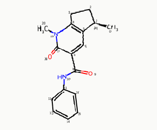 C[C@@H]1CCc2c1cc(C(=O)Nc1ccccc1)c(=O)n2C